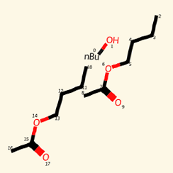 CCCCO.CCCCOC(C)=O.CCCCOC(C)=O